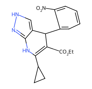 CCOC(=O)C1=C(C2CC2)Nc2n[nH]cc2C1c1ccccc1[N+](=O)[O-]